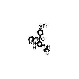 CC(C)OC1CCC(C(=O)N2Cc3cccnc3Nc3ccc(CN4CC5C[C@H]4CO5)cc32)CC1